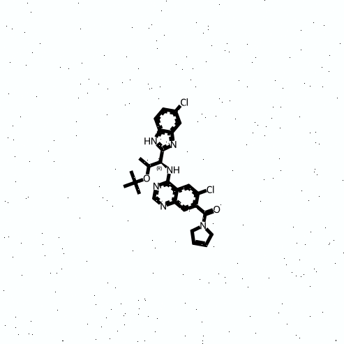 CC(OC(C)(C)C)[C@H](Nc1ncnc2cc(C(=O)N3CC=CC3)c(Cl)cc12)c1nc2cc(Cl)ccc2[nH]1